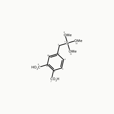 CO[Si](Cc1ccc(C(=O)O)c(C(=O)O)c1)(OC)OC